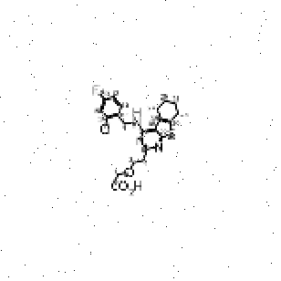 O=C(O)COCCc1nc(NCc2ccc(F)cc2Cl)c2c3c(sc2n1)CCCC3